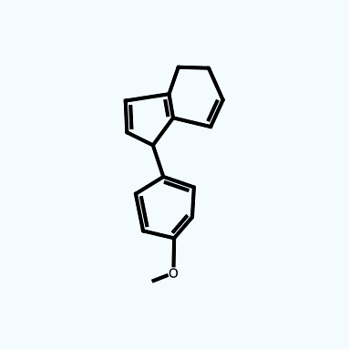 COc1ccc(C2C=CC3=C2C=CCC3)cc1